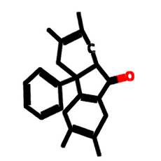 CC1=C(C)CC2=C(C1)C(=O)C1CC(C)=C(C)CC21c1ccccc1